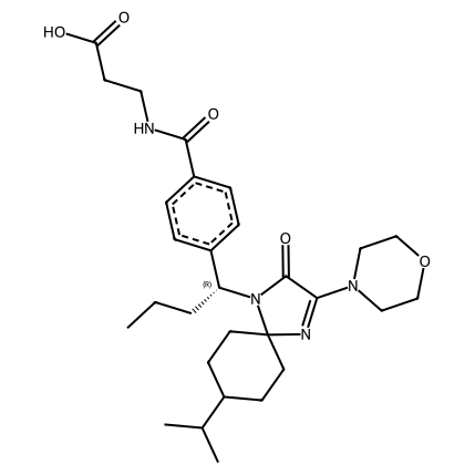 CCC[C@H](c1ccc(C(=O)NCCC(=O)O)cc1)N1C(=O)C(N2CCOCC2)=NC12CCC(C(C)C)CC2